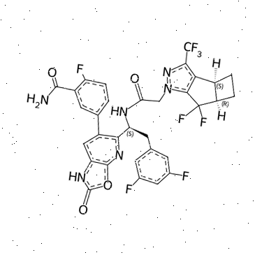 NC(=O)c1cc(-c2cc3[nH]c(=O)oc3nc2[C@H](Cc2cc(F)cc(F)c2)NC(=O)Cn2nc(C(F)(F)F)c3c2C(F)(F)[C@@H]2CC[C@H]32)ccc1F